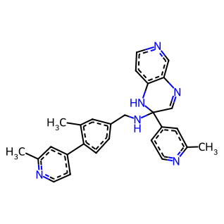 Cc1cc(-c2ccc(CNC3(c4ccnc(C)c4)C=Nc4cnccc4N3)cc2C)ccn1